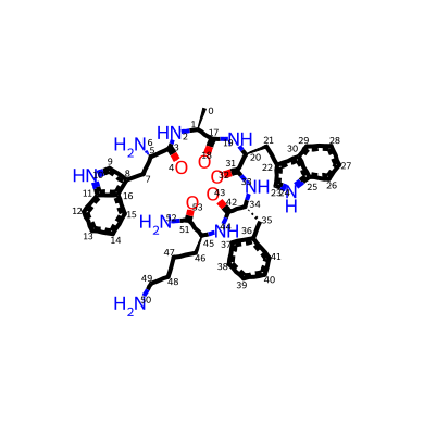 C[C@H](NC(=O)[C@@H](N)Cc1c[nH]c2ccccc12)C(=O)N[C@@H](Cc1c[nH]c2ccccc12)C(=O)N[C@H](Cc1ccccc1)C(=O)N[C@@H](CCCCN)C(N)=O